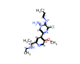 C/C=C/N=c1/c(Cl)nc(-c2cc([C@@H](C)NCC)ncc2OC)cn1N